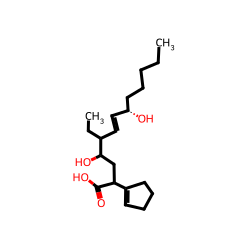 CCCCC[C@H](O)C=CC(CC)C(O)CC(C(=O)O)C1=CCCC1